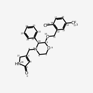 O=C1C=C(CN2CCO[C@H](OCc3cc(C(F)(F)F)ccc3Cl)[C@@H]2c2ccccc2)CN1